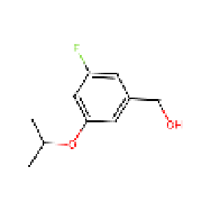 CC(C)Oc1cc(F)cc([CH]O)c1